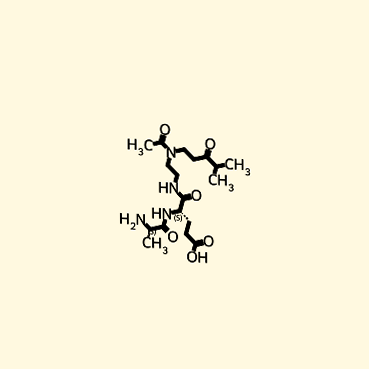 CC(=O)N(CCNC(=O)[C@H](CCC(=O)O)NC(=O)[C@H](C)N)CCC(=O)C(C)C